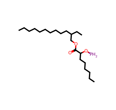 CCCCCCCCCCC(CC)COC(=O)C(CCCCCC)OP